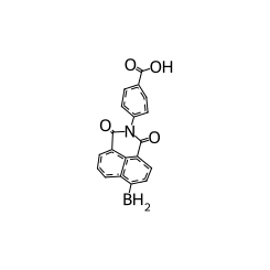 Bc1ccc2c3c(cccc13)C(=O)N(c1ccc(C(=O)O)cc1)C2=O